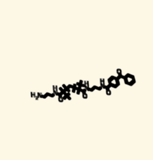 CC(C)(C)C(C)(C(=O)NCCCN)C(C)(C)CC(C)(C)C(C)(C(=O)NCCCNC(=O)c1ccc(C(=O)c2ccccc2)cc1)C(C)(C)C